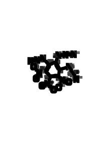 [N-]=[N+]=Nc1c(N=[N+]=[N-])c([N+](=O)[O-])c([N+](=O)[O-])c([N+](=O)[O-])c1N=[N+]=[N-]